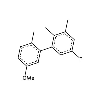 COc1ccc(C)c(-c2cc(F)cc(C)c2C)c1